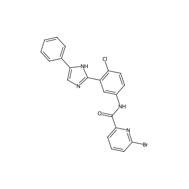 O=C(Nc1ccc(Cl)c(-c2ncc(-c3ccccc3)[nH]2)c1)c1cccc(Br)n1